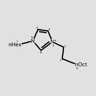 CCCCCCCCCC[n+]1ccn(CCCCCC)c1